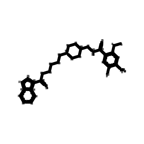 COc1cc(N)c(Cl)cc1C(=O)NCC1CCN(CCCCCC(=O)c2nsc3ccccc23)CC1